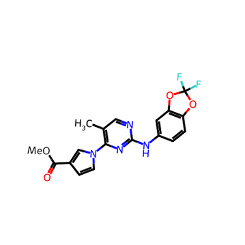 COC(=O)c1ccn(-c2nc(Nc3ccc4c(c3)OC(F)(F)O4)ncc2C)c1